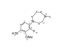 COc1c(N)ccc(N2CCCN(C)CC2)c1F